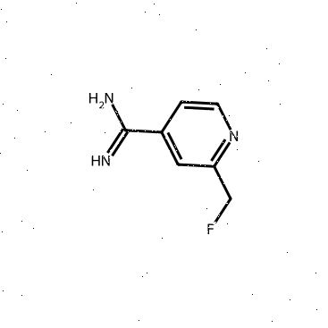 N=C(N)c1ccnc(CF)c1